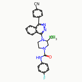 CC1CN(C(=O)Nc2ccc(F)cc2)CCN1c1nnc(-c2ccc(C#N)cc2)c2ccccc12.Cl